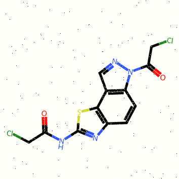 O=C(CCl)Nc1nc2ccc3c(cnn3C(=O)CCl)c2s1